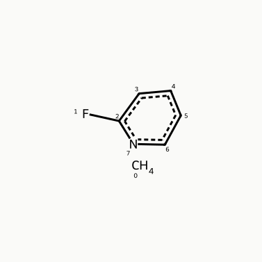 C.Fc1ccccn1